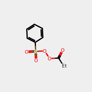 CCC(=O)OOS(=O)(=O)c1ccccc1